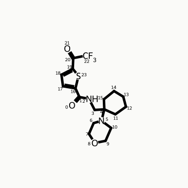 O=C(NCC1(N2CCOCC2)CCCCC1)c1ccc(C(=O)C(F)(F)F)s1